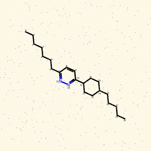 CCCCCCCc1ccc(C2CCC(CCCCC)CC2)nn1